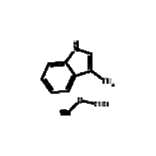 CC(C)(C)OC=O.Cc1c[nH]c2ccccc12